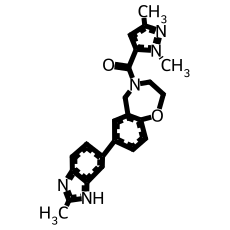 Cc1cc(C(=O)N2CCOc3ccc(-c4ccc5nc(C)[nH]c5c4)cc3C2)n(C)n1